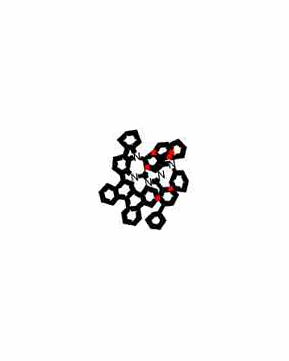 c1ccc(-c2cccc(-c3nc(-c4ccccc4)nc(-n4c5c(c6ccccc6c6c7ccccc7c7ccccc7c65)c5ccc6c7ccccc7n(-c7ccc8c(c7)c7ccccc7n8-c7ccccc7)c6c54)n3)c2)cc1